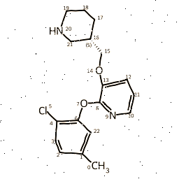 Cc1ccc(Cl)c(Oc2ncccc2OC[C@H]2CCCNC2)c1